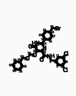 O=C(NCc1cc(Cl)cc(Cl)c1)c1nc(-c2ccc(CBr)cc2)[nH]c(=O)c1OCOCc1ccccc1